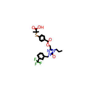 CCCn1c(COC(=O)c2ccc(SC(C)(C)C(=O)O)cc2)nn(Cc2cccc(C(F)(F)F)c2)c1=O